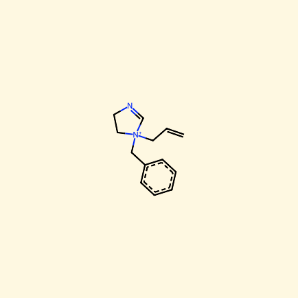 C=CC[N+]1(Cc2ccccc2)C=NCC1